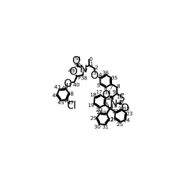 CC(COc1ccc(CC2SC(=O)N(C(c3ccccc3)(c3ccccc3)c3ccccc3)C2=O)cc1)N1CC(COc2cccc(Cl)c2)OC1=O